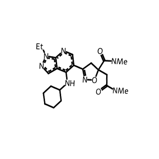 CCn1ncc2c(NC3CCCCC3)c(C3=NOC(CC(=O)NC)(C(=O)NC)C3)cnc21